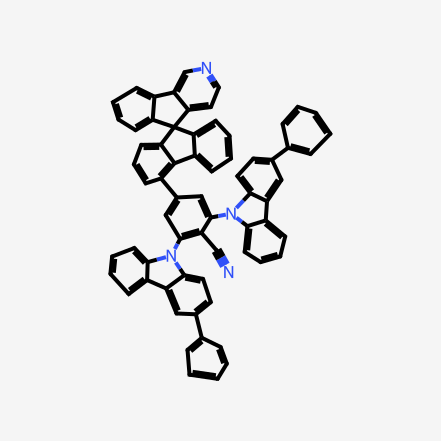 N#Cc1c(-n2c3ccccc3c3cc(-c4ccccc4)ccc32)cc(-c2cccc3c2-c2ccccc2C32c3ccccc3-c3cnccc32)cc1-n1c2ccccc2c2cc(-c3ccccc3)ccc21